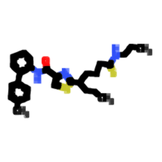 CCCNC(=S)CCCC(CCC)c1nc(C(=O)Nc2ccccc2-c2ccc(C)cc2)cs1